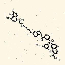 COc1cccc(Nc2c(C(N)=O)cnc3c(C)cc(S(=O)(=O)c4cccc(C(=O)N5CCc6cc(CCCCCNCC(O)c7ccc(O)c8[nH]c(=O)ccc78)ccc65)c4)cc23)c1